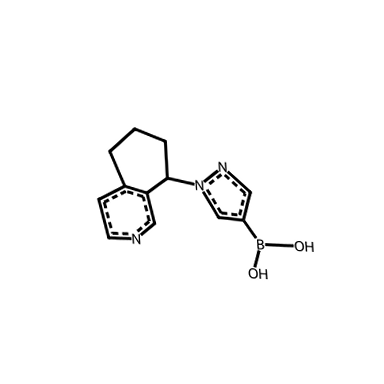 OB(O)c1cnn(C2CCCc3ccncc32)c1